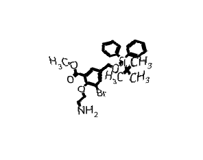 COC(=O)c1cc(CO[Si](c2ccccc2)(c2ccccc2)C(C)(C)C)cc(Br)c1OCCN